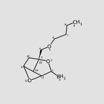 BC1O[C@@]2(COCCCC)CC3OC1C32